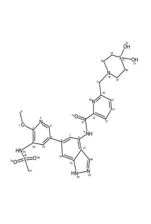 COc1ncc(-c2cc(NC(=O)c3cccc(CN4CCS(O)(O)CC4)n3)c3cn[nH]c3c2)cc1NS(C)(=O)=O